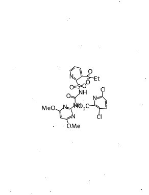 CCS(=O)(=O)c1cccnc1S(=O)(=O)NC(=O)Nc1nc(OC)cc(OC)n1.O=C(O)c1nc(Cl)ccc1Cl